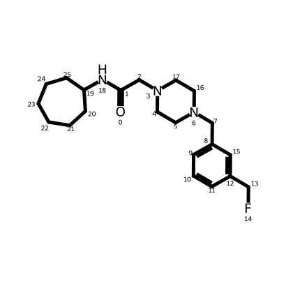 O=C(CN1CCN(Cc2cccc(CF)c2)CC1)NC1CCCCCC1